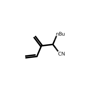 C=CC(=C)C(C#N)CCCC